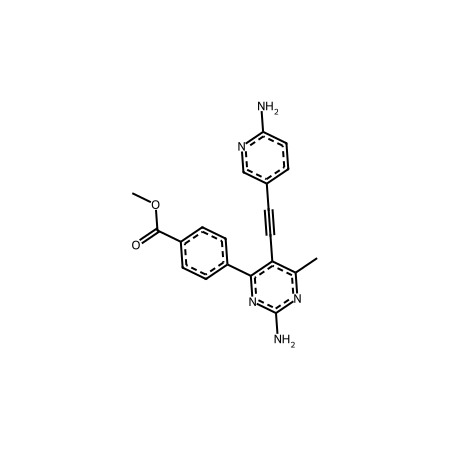 COC(=O)c1ccc(-c2nc(N)nc(C)c2C#Cc2ccc(N)nc2)cc1